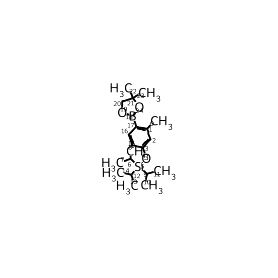 Cc1cc(O[Si](C(C)C)(C(C)C)C(C)C)ccc1B1OCC(C)(C)O1